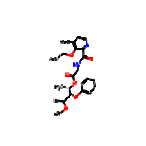 CCCO[C@@H](CC)[C@@H](Oc1ccccc1)[C@H](C)OC(=O)CNC(=O)c1nccc(OC)c1OCOC(C)=O